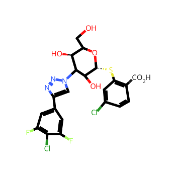 O=C(O)c1ccc(Cl)cc1S[C@H]1OC(CO)[C@H](O)C(n2cc(-c3cc(F)c(Cl)c(F)c3)nn2)C1O